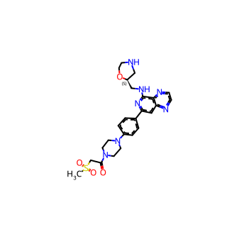 CS(=O)(=O)CC(=O)N1CCN(c2ccc(-c3cc4nccnc4c(NC[C@@H]4CNCCO4)n3)cc2)CC1